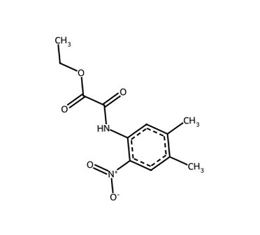 CCOC(=O)C(=O)Nc1cc(C)c(C)cc1[N+](=O)[O-]